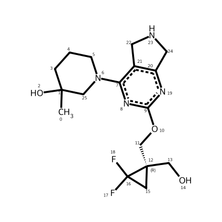 CC1(O)CCCN(c2nc(OC[C@]3(CO)CC3(F)F)nc3c2CNC3)C1